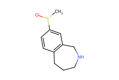 C[S+]([O-])c1ccc2c(c1)CNCCC2